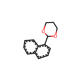 c1ccc2c(C3OCCCO3)cccc2c1